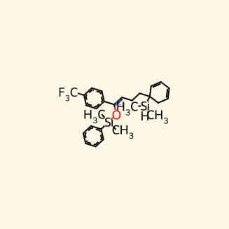 C[SiH](C)C1(CC/C=C(\O[Si](C)(C)c2ccccc2)c2ccc(C(F)(F)F)cc2)C=CC=CC1